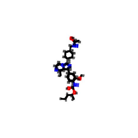 CCC[C@H](C)OC(=O)Nc1ccc(-c2nc([C@H]3CC[C@H](CNC(C)=O)CC3)n3ccnc(C)c23)cc1OC